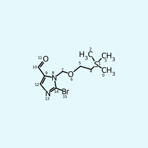 CS(C)(C)CCOCn1c(C=O)cnc1Br